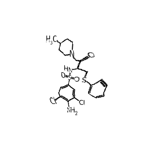 CC1CCN(C(=O)C(CSc2ccccc2)NS(=O)(=O)c2cc(Cl)c(N)c(Cl)c2)CC1